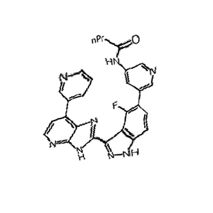 CCCC(=O)Nc1cncc(-c2ccc3[nH]nc(-c4nc5c(-c6cccnc6)ccnc5[nH]4)c3c2F)c1